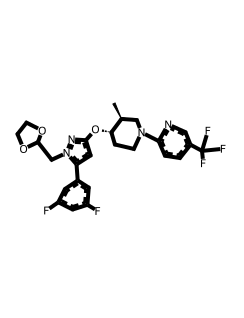 C[C@H]1CN(c2ccc(C(F)(F)F)cn2)CC[C@@H]1Oc1cc(-c2cc(F)cc(F)c2)n(CC2OCCO2)n1